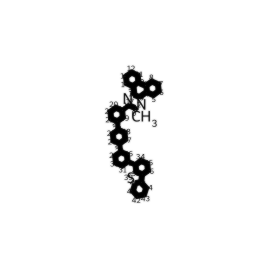 Cc1nc2c3ccccc3c3ccccc3c2nc1-c1cccc(-c2ccc(-c3cccc(-c4cccc5c4sc4ccccc45)c3)cc2)c1